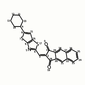 O=C1C(=Cc2nc3sc(C4CCCCC4)cc3s2)C(=O)c2cc3ccccc3cc21